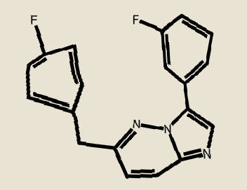 Fc1ccc(Cc2ccc3ncc(-c4cccc(F)c4)n3n2)cc1